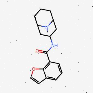 CN1C2CCCC1CC(NC(=O)c1cccc3ccoc13)C2